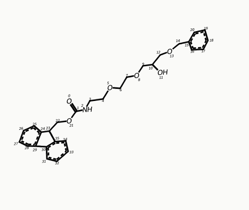 O=C(NCCOCCOCC(O)COCc1ccccc1)OCC1c2ccccc2-c2ccccc21